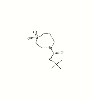 CC(C)(C)OC(=O)N1CCCS(=O)(=O)CC1